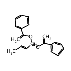 C=C(O[SiH](C=CC)OC(=C)c1ccccc1)c1ccccc1